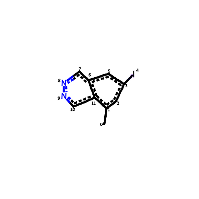 Cc1cc(I)cc2cnncc12